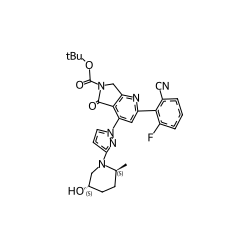 C[C@H]1CC[C@H](O)CN1c1ccn(-c2cc(-c3c(F)cccc3C#N)nc3c2C(=O)N(C(=O)OC(C)(C)C)C3)n1